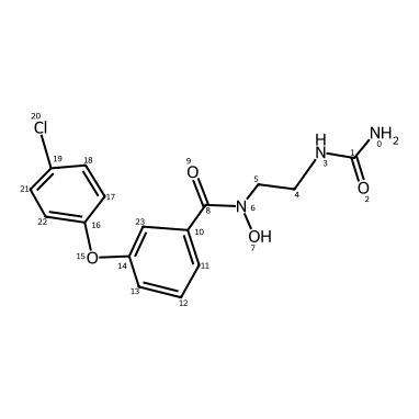 NC(=O)NCCN(O)C(=O)c1cccc(Oc2ccc(Cl)cc2)c1